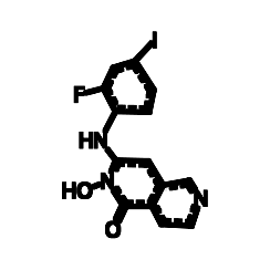 O=c1c2ccncc2cc(Nc2ccc(I)cc2F)n1O